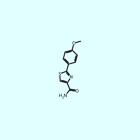 COc1ccc(-c2nc(C(N)=O)cs2)cc1